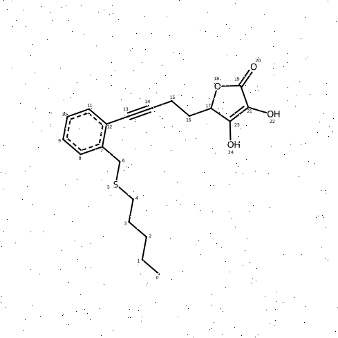 CCCCCSCc1ccccc1C#CCCC1OC(=O)C(O)=C1O